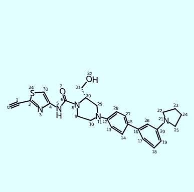 C#Cc1nc(NC(=O)N2CCN(c3ccc(-c4cccc(N5CCCC5)c4)cc3)C[C@H]2CO)cs1